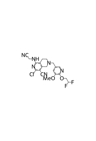 COc1cc(CN2CCc3c(NCC#N)nc(Cl)c(C#N)c3C2)cnc1OCC(F)F